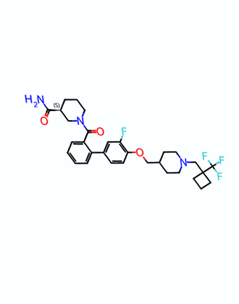 NC(=O)[C@H]1CCCN(C(=O)c2ccccc2-c2ccc(OCC3CCN(CC4(C(F)(F)F)CCC4)CC3)c(F)c2)C1